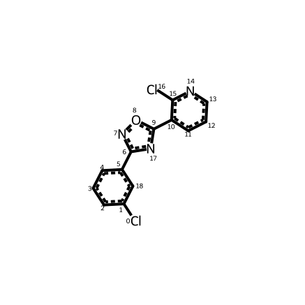 Clc1cccc(-c2noc(-c3cccnc3Cl)n2)c1